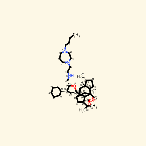 CCCCN1CCCN(CCNC[C@@H]2O[C@@H](C34C[C@@H]5[C@H](C)CC[C@H]5C5(C=O)CC3C=C(C(C)C)[C@]54C(=O)O)C[C@H]2C2CCCCC2)CC1